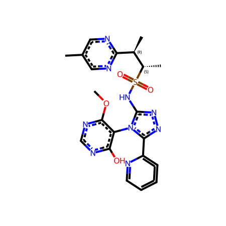 COc1ncnc(O)c1-n1c(NS(=O)(=O)[C@@H](C)[C@H](C)c2ncc(C)cn2)nnc1C1=C=C=CC=N1